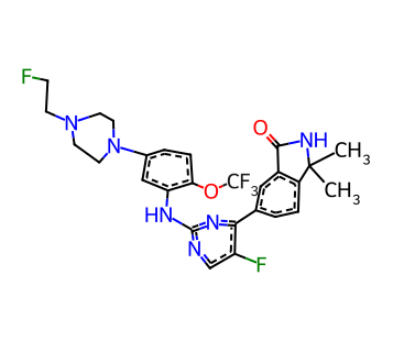 CC1(C)NC(=O)c2cc(-c3nc(Nc4cc(N5CCN(CCF)CC5)ccc4OC(F)(F)F)ncc3F)ccc21